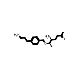 CC(=O)CC[C@H](N)[C@@H](C)OCc1ccc(CCCN)cc1